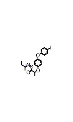 CC/C(C)=N/OC(=O)C(C)Oc1ccc(Oc2ccc(I)cc2)cc1